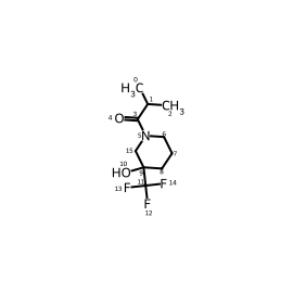 CC(C)C(=O)N1CCCC(O)(C(F)(F)F)C1